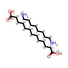 NCCCCCCCCN.O=C(O)CCCCCCCCCCCC(=O)O